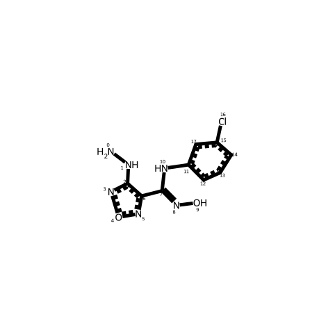 NNc1nonc1/C(=N/O)Nc1cccc(Cl)c1